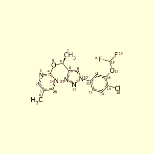 Cc1cnc(O[C@@H](C)c2cn(-c3ccc(Cl)c(OC(F)F)c3)nn2)nc1